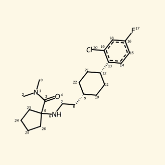 CN(C)C(=O)C1(NCC[C@H]2CC[C@@H](c3ccc(F)cc3Cl)CC2)CCCC1